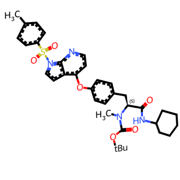 Cc1ccc(S(=O)(=O)n2ccc3c(Oc4ccc(C[C@@H](C(=O)NC5CCCCC5)N(C)C(=O)OC(C)(C)C)cc4)ccnc32)cc1